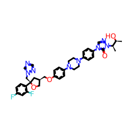 C[C@H](O)[C@@H](C)n1ncn(-c2ccc(N3CCN(c4ccc(OC[C@H]5CO[C@](Cn6cncn6)(c6ccc(F)cc6F)C5)cc4)CC3)cc2)c1=O